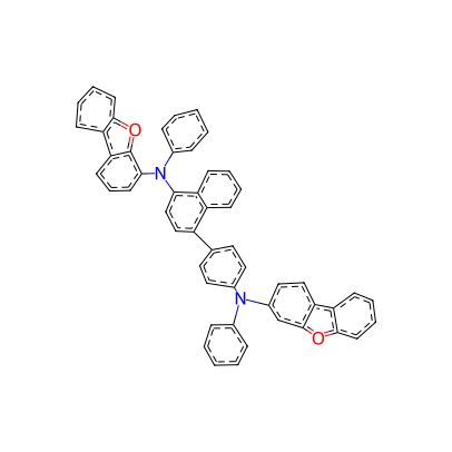 c1ccc(N(c2ccc(-c3ccc(N(c4ccccc4)c4cccc5c4oc4ccccc45)c4ccccc34)cc2)c2ccc3c(c2)oc2ccccc23)cc1